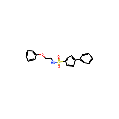 O=S(=O)(NCCOc1ccccc1)c1ccc(-c2ccccc2)cc1